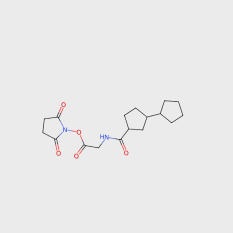 O=C(CNC(=O)C1CCC(C2CCCC2)C1)ON1C(=O)CCC1=O